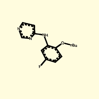 CCCCOc1ccc(F)cc1Nc1ccncn1